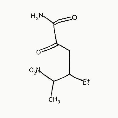 CCC(CC(=O)C(N)=O)C(C)[N+](=O)[O-]